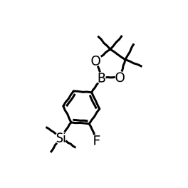 CC1(C)OB(c2ccc([Si](C)(C)C)c(F)c2)OC1(C)C